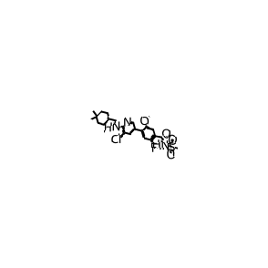 COc1cc(C(=O)NS(C)(=O)=O)c(F)cc1-c1cnc(NCC2CCC(C)(C)CC2)c(Cl)c1